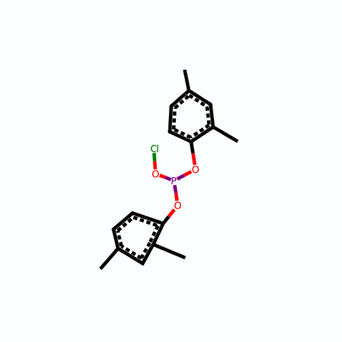 Cc1ccc(OP(OCl)Oc2ccc(C)cc2C)c(C)c1